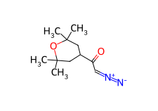 CC1(C)CC(C(=O)C=[N+]=[N-])CC(C)(C)O1